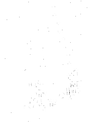 CC[C@@]1(O)C(=O)OCc2c1cc1n(c2=O)Cc2c-1nc1cc(F)c(C)c3c1c2[C@@H](NC(=O)C(C)(C)NC(=O)OCc1ccc(NC(=O)[C@H](C)NC(=O)[C@H](C)NC(=O)C(CNC(=O)CCOCCOCCOCCOCCOCCOCCOCCOC)N2C(=O)CC(C)C2=O)cc1)CC3